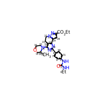 CCNC(=O)Nc1ccc(-c2nc3c(c(N4CCOC[C@@H]4C)n2)CCn2nc(C(=O)OCC)cc2-3)cc1